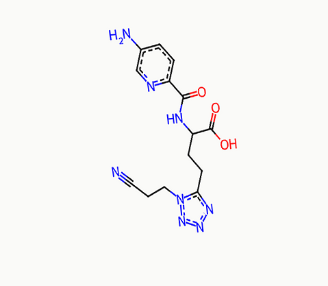 N#CCCn1nnnc1CCC(NC(=O)c1ccc(N)cn1)C(=O)O